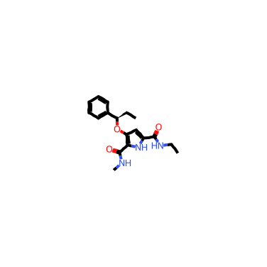 CCNC(=O)c1cc(O[C@H](CC)c2ccccc2)c(C(=O)NC)[nH]1